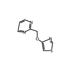 [c]1nc(OCc2ncccn2)cs1